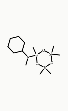 CN(C1CCCCC1)[Si]1(C)O[Si](C)(C)O[Si](C)(C)O1